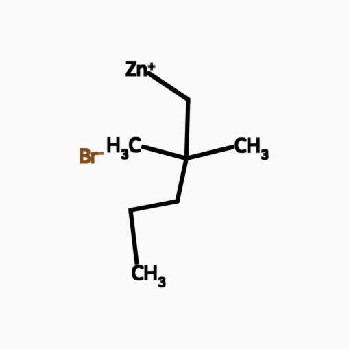 CCCC(C)(C)[CH2][Zn+].[Br-]